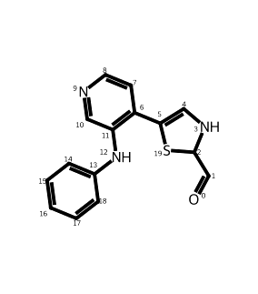 O=CC1NC=C(c2ccncc2Nc2ccccc2)S1